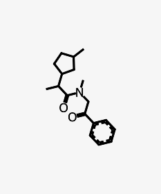 CC1CCC(C(C)C(=O)N(C)CC(=O)c2ccccc2)C1